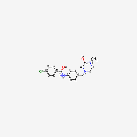 CN1CCN(Cc2ccc(NC(=O)c3ccc(Cl)cc3)cc2)CC1=O